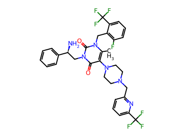 Cc1c(N2CCN(Cc3cccc(C(F)(F)F)n3)CC2)c(=O)n(C[C@H](N)c2ccccc2)c(=O)n1Cc1c(F)cccc1C(F)(F)F